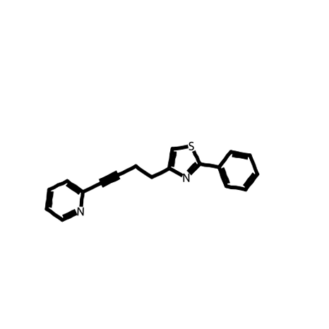 C(#Cc1ccccn1)CCc1csc(-c2ccccc2)n1